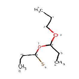 CCCOC(CC)OC([S])CC